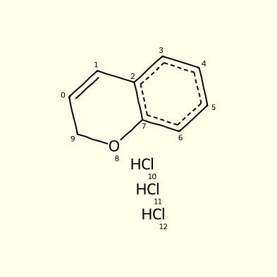 C1=Cc2ccccc2OC1.Cl.Cl.Cl